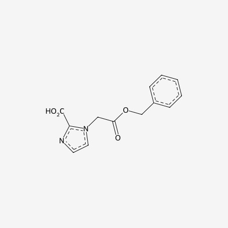 O=C(Cn1ccnc1C(=O)O)OCc1ccccc1